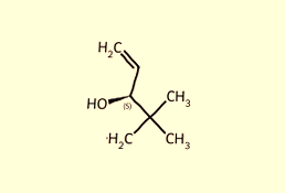 [CH2]C(C)(C)[C@@H](O)C=C